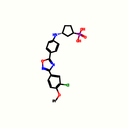 CC(C)Oc1ccc(-c2noc(-c3ccc(N[C@@H]4CC[C@@H](P(=O)(O)O)C4)cc3)n2)cc1Cl